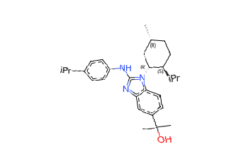 CC(C)c1ccc(Nc2nc3cc(C(C)(C)O)ccc3n2[C@@H]2C[C@H](C)CC[C@H]2C(C)C)cc1